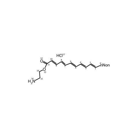 CCCCCCCCCC=CC=CC=CC=CC=CC(=O)OCCN.Cl